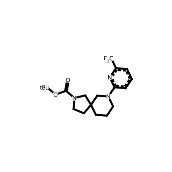 CC(C)(C)OC(=O)N1CCC2(CCCN(c3cccc(C(F)(F)F)n3)C2)C1